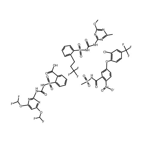 COc1nc(C)nc(NC(=O)NS(=O)(=O)c2ccccc2CCC(F)(F)F)n1.CS(=O)(=O)NC(=O)c1cc(Oc2ccc(C(F)(F)F)cc2Cl)ccc1[N+](=O)[O-].O=C(Nc1nc(OC(F)F)cc(OC(F)F)n1)NS(=O)(=O)c1ccccc1C(=O)O